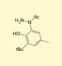 CC(=O)N(N)c1cc(C)cc(C(C)(C)C)c1O